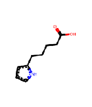 O=C(O)CCCCc1ccc[nH]1